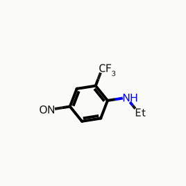 CCNc1ccc(N=O)cc1C(F)(F)F